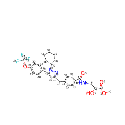 COC(=O)C(O)CNC(=O)c1ccc(Cc2cc(-c3ccc(OC(F)(F)F)cc3)n(C3CCCCC3)n2)cc1